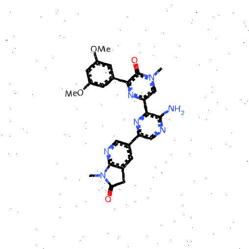 COc1cc(OC)cc(-c2nc(-c3nc(-c4cnc5c(c4)CC(=O)N5C)cnc3N)cn(C)c2=O)c1